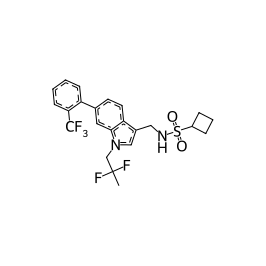 CC(F)(F)Cn1cc(CNS(=O)(=O)C2CCC2)c2ccc(-c3ccccc3C(F)(F)F)cc21